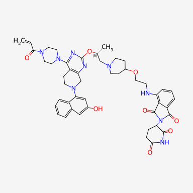 C=CC(=O)N1CCN(c2nc(O[C@H](C)CN3CCC(OCCNc4cccc5c4C(=O)N(C4CCC(=O)NC4=O)C5=O)CC3)nc3c2CCN(c2cc(O)cc4ccccc24)C3)CC1